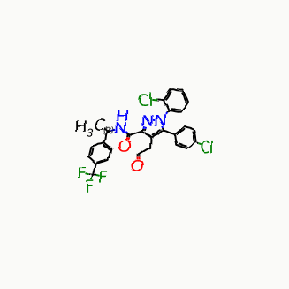 C[C@@H](NC(=O)c1nn(-c2ccccc2Cl)c(-c2ccc(Cl)cc2)c1CC=O)c1ccc(C(F)(F)F)cc1